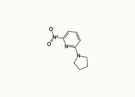 O=[N+]([O-])c1cccc(N2CCCC2)n1